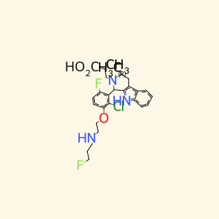 CC(CN1C(c2c(F)ccc(OCCNCCCF)c2Cl)c2[nH]c3ccccc3c2C[C@H]1C)C(=O)O